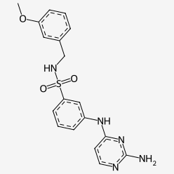 COc1cccc(CNS(=O)(=O)c2cccc(Nc3ccnc(N)n3)c2)c1